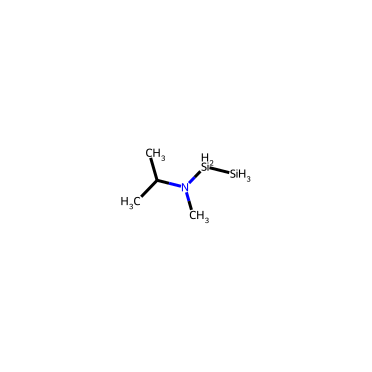 CC(C)N(C)[SiH2][SiH3]